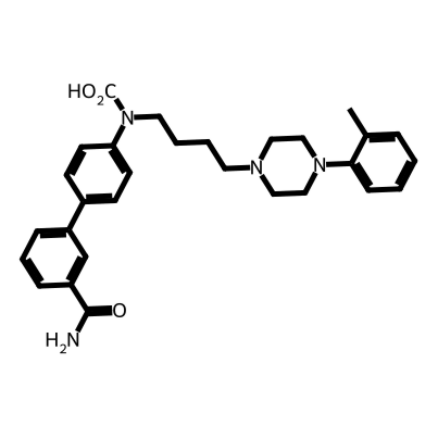 Cc1ccccc1N1CCN(CCCCN(C(=O)O)c2ccc(-c3cccc(C(N)=O)c3)cc2)CC1